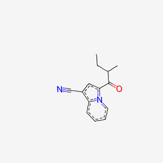 CCC(C)C(=O)c1cc(C#N)c2ccccn12